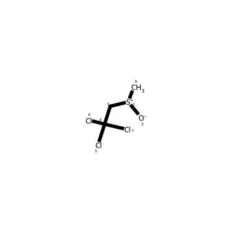 C[S+]([O-])CC(Cl)(Cl)Cl